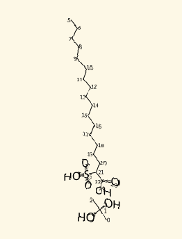 CC(C)(O)O.CCCCCCCCCCCCCCCCC(C(=O)O)S(=O)(=O)O